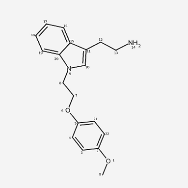 COc1ccc(OCCn2cc(CCN)c3ccccc32)cc1